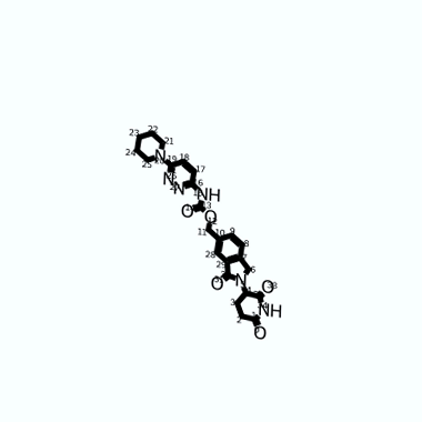 O=C1CCC(N2Cc3ccc(COC(=O)Nc4ccc(N5CCCCC5)nn4)cc3C2=O)C(=O)N1